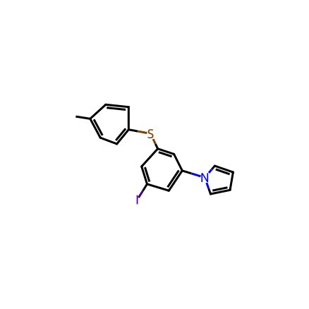 Cc1ccc(Sc2cc(I)cc(-n3cccc3)c2)cc1